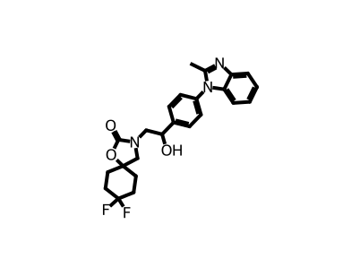 Cc1nc2ccccc2n1-c1ccc(C(O)CN2CC3(CCC(F)(F)CC3)OC2=O)cc1